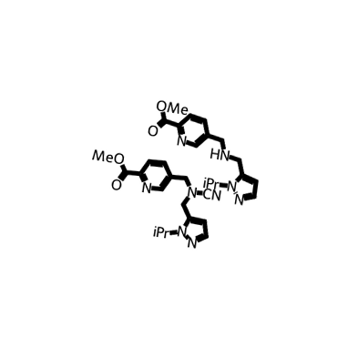 COC(=O)c1ccc(CN(C#N)Cc2ccnn2C(C)C)cn1.COC(=O)c1ccc(CNCc2ccnn2C(C)C)cn1